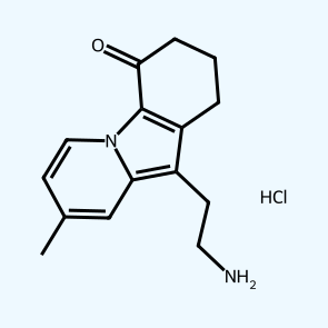 Cc1ccn2c3c(c(CCN)c2c1)CCCC3=O.Cl